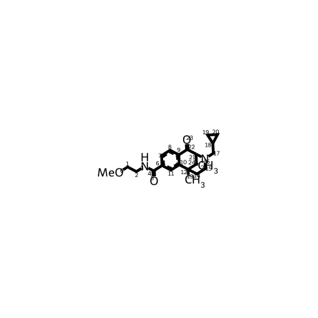 COCCNC(=O)c1ccc2c(c1)C1(C)CCN(CC3CC3)C(C2=O)C1C